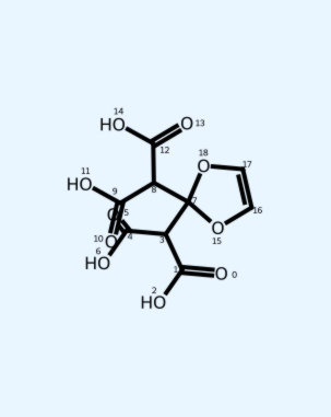 O=C(O)C(C(=O)O)C1(C(C(=O)O)C(=O)O)OC=CO1